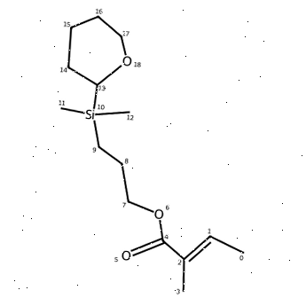 CC=C(C)C(=O)OCCC[Si](C)(C)C1CCCCO1